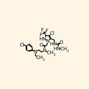 CCN(CCN(C)C(=O)CN1NC(C(F)(F)F)C(Cl)=C1CNC(=O)NC)c1ccc(Cl)cc1